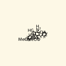 C#Cc1c(N)c(C)c(Cc2ccccc2)c(C(=O)OC)c1S(=O)(=O)c1ccc(OC)cc1